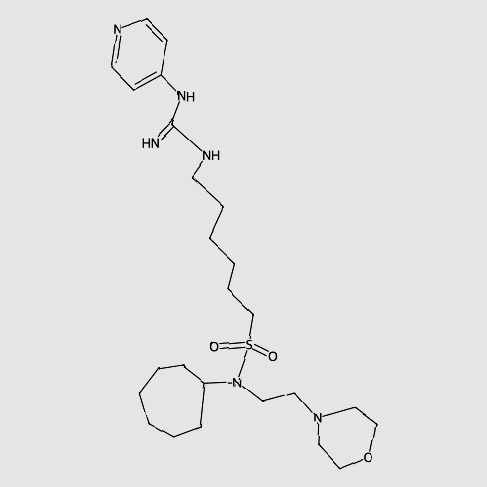 N=C(NCCCCCCS(=O)(=O)N(CCN1CCOCC1)C1CCCCCC1)Nc1ccncc1